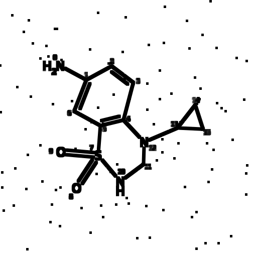 Nc1ccc2c(c1)S(=O)(=O)NCN2C1CC1